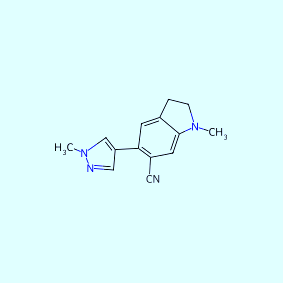 CN1CCc2cc(-c3cnn(C)c3)c(C#N)cc21